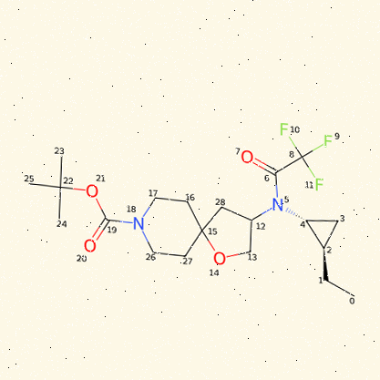 CC[C@@H]1C[C@H]1N(C(=O)C(F)(F)F)C1COC2(CCN(C(=O)OC(C)(C)C)CC2)C1